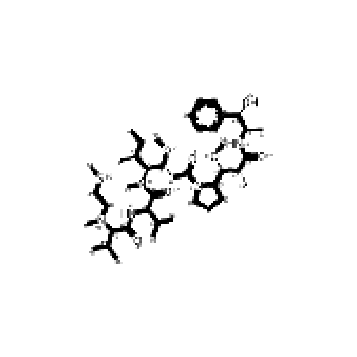 CC[C@H](C)[C@@H]([C@@H](CC(=O)N1CCCC1[C@H](OC)[C@@H](C)C(=O)N[C@H](C)[C@@H](O)c1ccccc1)OC)N(C)C(=O)C(NC(=O)C(C(C)C)N(C)CCSC)C(C)C